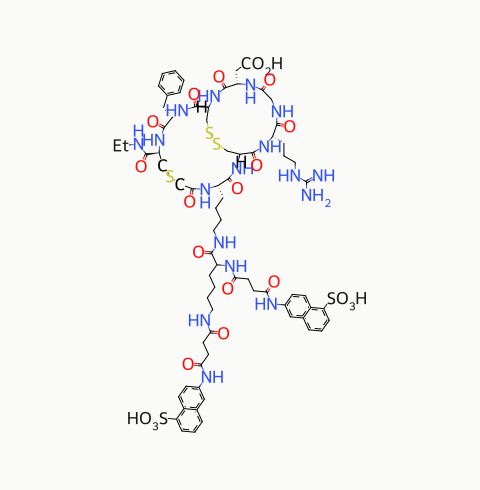 CCNC(=O)[C@@H]1CSCC(=O)N[C@@H](CCCCNC(=O)C(CCCCNC(=O)CCC(=O)Nc2ccc3c(S(=O)(=O)O)cccc3c2)NC(=O)CCC(=O)Nc2ccc3c(S(=O)(=O)O)cccc3c2)C(=O)N[C@H]2CSSC[C@H](NC(=O)[C@H](CC(=O)O)NC(=O)CNC(=O)[C@H](CCCNC(=N)N)NC2=O)C(=O)N[C@@H](Cc2ccccc2)C(=O)N1